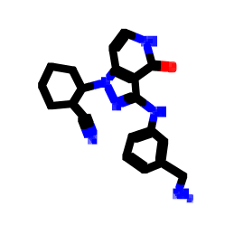 N#CC1CCCCC1n1nc(Nc2cccc(CN)c2)c2c(=O)[nH]ccc21